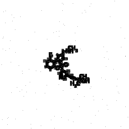 CNCc1cc(-c2ccccc2F)n(S(=O)(=O)c2cncc(C#CC(C)(C)O)c2)c1